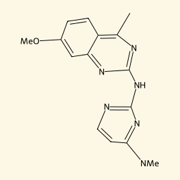 CNc1ccnc(Nc2nc(C)c3ccc(OC)cc3n2)n1